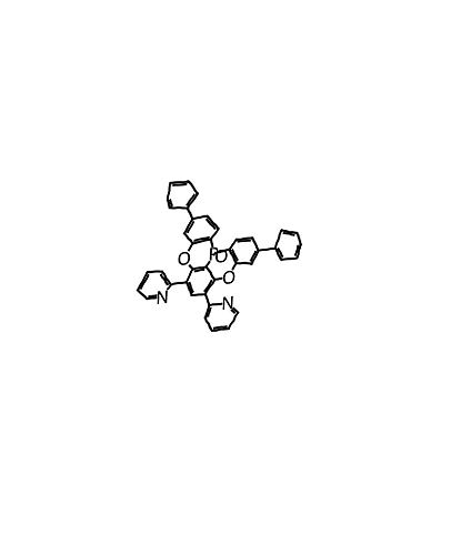 O=P12c3ccc(-c4ccccc4)cc3Oc3c(-c4ccccn4)cc(-c4ccccn4)c(c31)Oc1cc(-c3ccccc3)ccc12